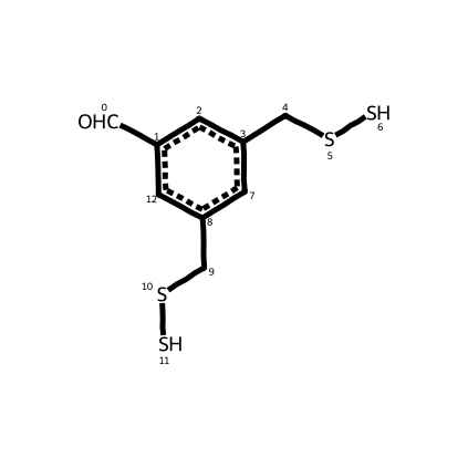 O=Cc1cc(CSS)cc(CSS)c1